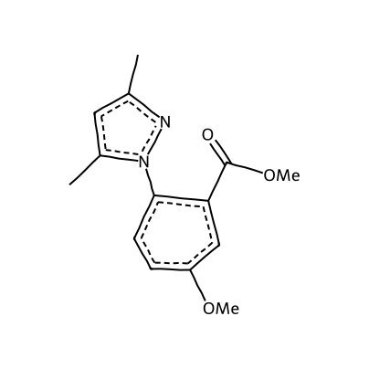 COC(=O)c1cc(OC)ccc1-n1nc(C)cc1C